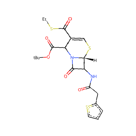 CCSC(=O)C1=CS[C@@H]2C(NC(=O)Cc3cccs3)C(=O)N2C1C(=O)OC(C)(C)C